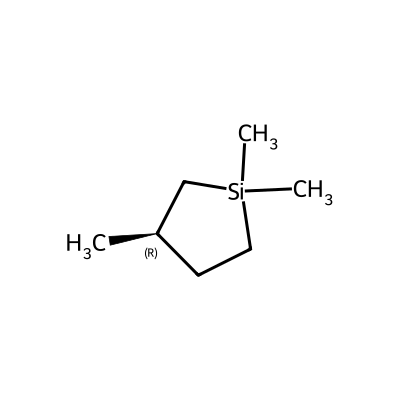 C[C@@H]1CC[Si](C)(C)C1